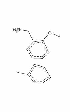 COc1ccccc1CN.[CH2]c1ccccc1